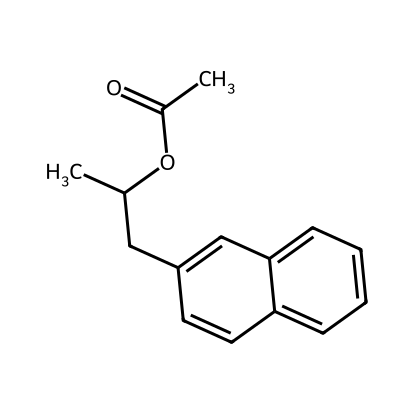 CC(=O)OC(C)Cc1ccc2ccccc2c1